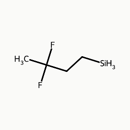 CC(F)(F)CC[SiH3]